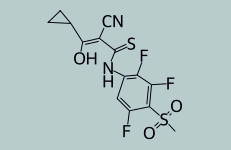 CS(=O)(=O)c1c(F)cc(NC(=S)C(C#N)=C(O)C2CC2)c(F)c1F